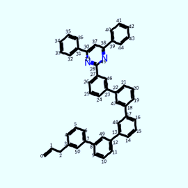 C=CCc1cccc(-c2cccc(-c3cccc(-c4cccc(-c5cccc(-c6nc(-c7ccccc7)cc(-c7ccccc7)n6)c5)c4)c3)c2)c1